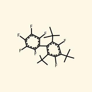 CC(C)(C)c1c(F)c(C(C)(C)C)c(-c2c(F)c(F)c(F)c(F)c2F)c(C(C)(C)C)c1F